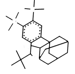 CC(C)(C)C(P)c1cc([Si](C)(C)C)c([Si](C)(C)C)cc1C12CC3CC(CC(C3)C1P)C2